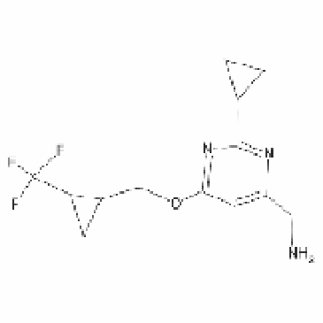 NCc1cc(OCC2CC2C(F)(F)F)nc(C2CC2)n1